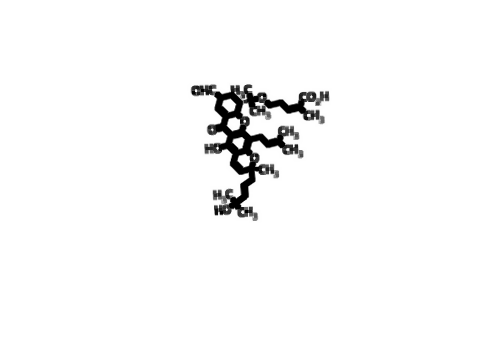 CC(C)=CCc1c2c(c(O)c3c1OC1C(=CC(C=O)C[C@@H]1C(C)(C)OCC/C=C(/C)C(=O)O)C3=O)C=C[C@@](C)(C/C=C/C(C)(C)O)O2